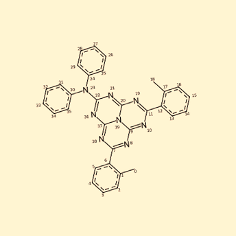 Cc1ccccc1C1=NC2=NC(c3ccccc3C)=NC3=NC(N(c4ccccc4)c4ccccc4)=NC(=N1)N23